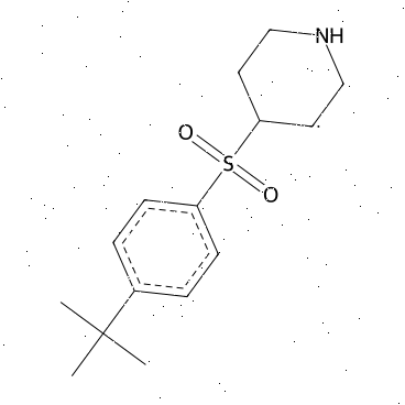 CC(C)(C)c1ccc(S(=O)(=O)C2[CH]CNCC2)cc1